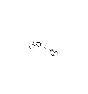 O=c1[nH]c2cc(CN3CCN(c4ccc5oncc5c4)CC3)ccc2c2c1CCCN2